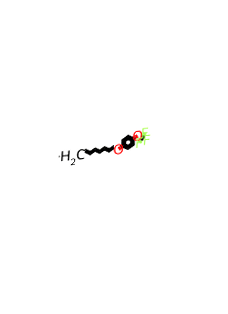 [CH2]CCCCCCCOc1ccc(OC(F)(F)F)cc1